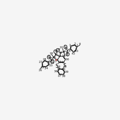 Cc1ccc(S(=O)(=O)C(C)(C)C(=O)C2(C(=O)C(C)(C)S(=O)(=O)c3ccc(C)cc3)C=CC3=C(C2)Sc2ccccc2S3)cc1